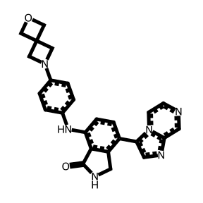 O=C1NCc2c(-c3cnc4cnccn34)ccc(Nc3ccc(N4CC5(COC5)C4)cc3)c21